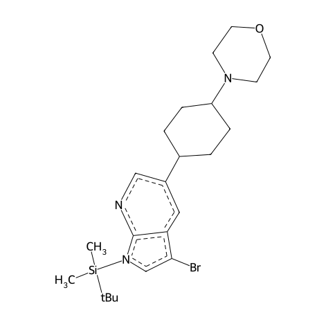 CC(C)(C)[Si](C)(C)n1cc(Br)c2cc(C3CCC(N4CCOCC4)CC3)cnc21